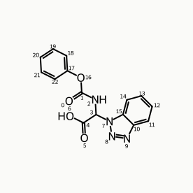 O=C(NC(C(=O)O)n1nnc2ccccc21)Oc1ccccc1